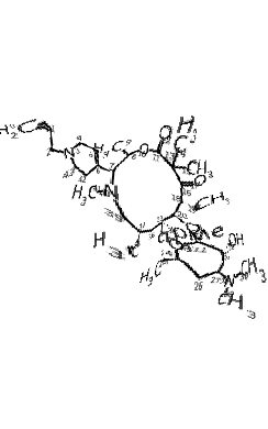 C=CCN1CC=C([C@H]2[C@@H](C)OC(=O)C(C)(C)C(=O)[C@H](C)[C@@H](O[C@@H]3O[C@H](C)C[C@H](N(C)C)[C@H]3O)[C@](C)(OC)C[C@@H](C)CN2C)CC1